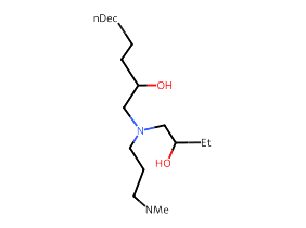 CCCCCCCCCCCCC(O)CN(CCCNC)CC(O)CC